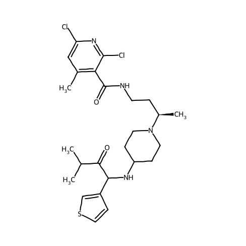 Cc1cc(Cl)nc(Cl)c1C(=O)NCC[C@@H](C)N1CCC(NC(C(=O)C(C)C)c2ccsc2)CC1